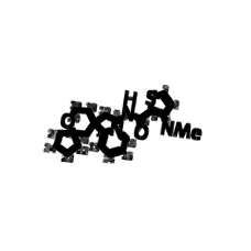 CNc1ccsc1C(=O)NCCC1(c2ccccn2)CCOC2(CCCC2)C1